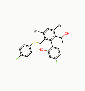 CC(C)c1cc(C(C)C)c(C(C)O)c(-c2ccc(F)cc2O)c1CSc1ccc(F)cc1